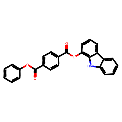 O=C(Oc1ccccc1)c1ccc(C(=O)Oc2cccc3c2[nH]c2ccccc23)cc1